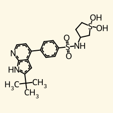 CC(C)(C)c1cc2c(-c3ccc(S(=O)(=O)NC4CCS(O)(O)C4)cc3)ccnc2[nH]1